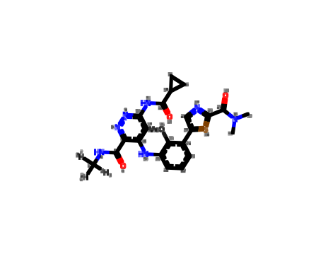 [2H]C([2H])([2H])NC(=O)c1nnc(NC(=O)C2CC2)cc1Nc1cccc(-c2cnc(C(=O)N(C)C)s2)c1OC